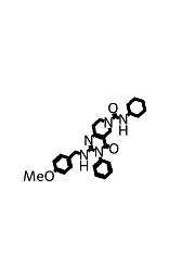 COc1ccc(CNc2nc3c(c(=O)n2-c2ccccc2)CN(C(=O)NC2CCCCC2)CC3)cc1